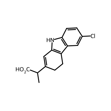 CC(C(=O)O)C1=Cc2[nH]c3ccc(Cl)cc3c2CC1